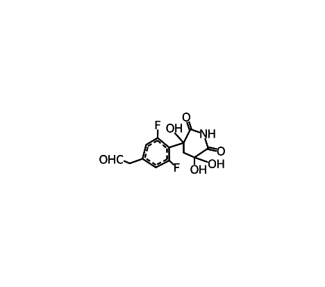 O=CCc1cc(F)c(C2(O)CC(O)(O)C(=O)NC2=O)c(F)c1